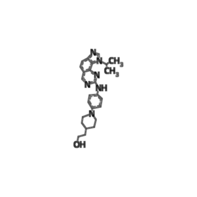 CC(C)n1cnc2ccc3cnc(Nc4ccc(N5CCC(CCO)CC5)cc4)nc3c21